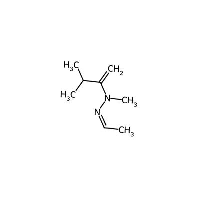 C=C(C(C)C)N(C)/N=C\C